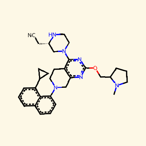 CN1CCCC1COc1nc2c(c(N3CCN[C@@H](CC#N)C3)n1)CCN(c1cccc3cccc(C4CC4)c13)C2